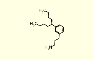 CCC/C=C(\CCCC)c1cccc(CCCN)c1